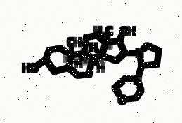 C[C@]12CCC(O)CC1CC[C@@H]1[C@H]2CC[C@]2(C)C(O)C(N3CCCC3N3CCOCC3)C[C@@H]12